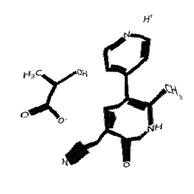 CC(O)C(=O)[O-].Cc1[nH]c(=O)c(C#N)cc1-c1ccncc1.[H+]